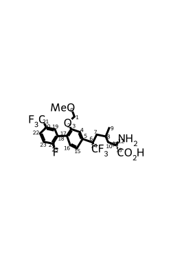 COCOc1cc(C(CC(C)C[C@H](N)C(=O)O)C(F)(F)F)ccc1-c1cc(C(F)(F)F)ccc1F